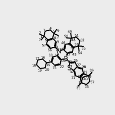 CC1(C)CCC(C)(C)c2cc(N3c4cc(C5CCCCC5)ccc4B(c4cc5cc6c(cc5s4)C4(C)CCC6(C)CC4)c4cc5c(cc43)C(C)(C)CCC5(C)C)ccc21